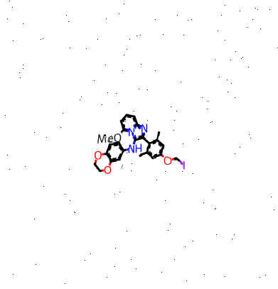 COc1cccc2nc(-c3c(C)cc(OCI)cc3C)c(Nc3ccc4c(c3)OCCO4)n12